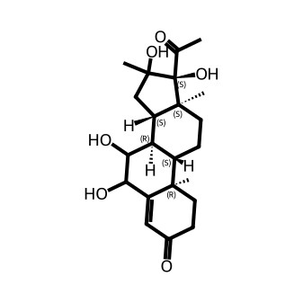 CC(=O)[C@@]1(O)C(C)(O)C[C@H]2[C@@H]3C(O)C(O)C4=CC(=O)CC[C@]4(C)[C@H]3CC[C@@]21C